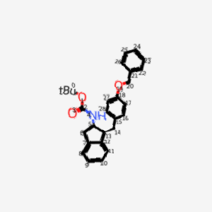 CC(C)(C)OC(=O)N[C@@H]1Cc2ccccc2[C@@H]1Cc1ccc(OCc2ccccc2)cc1